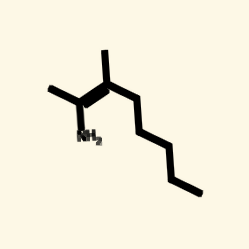 CCCCCC(C)=C(C)N